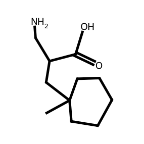 CC1(CC(CN)C(=O)O)CCCCC1